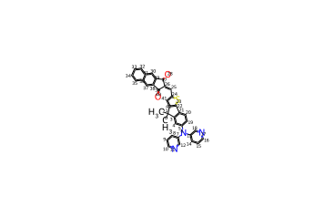 CC1(C)c2cc(N(c3cccnc3)c3cccnc3)ccc2-c2sc(C=C3C(=O)c4cc5ccccc5cc4C3=O)cc21